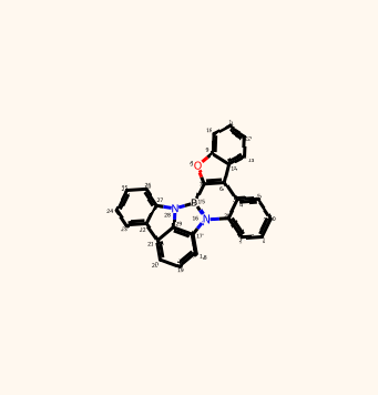 c1ccc2c(c1)-c1c(oc3ccccc13)B1N2c2cccc3c4ccccc4n1c23